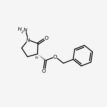 NN1CC[C@@H](C(=O)OCc2ccccc2)C1=O